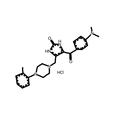 Cc1ccccc1N1CCN(Cc2[nH]c(=O)[nH]c2C(=O)c2ccc(N(C)C)cc2)CC1.Cl